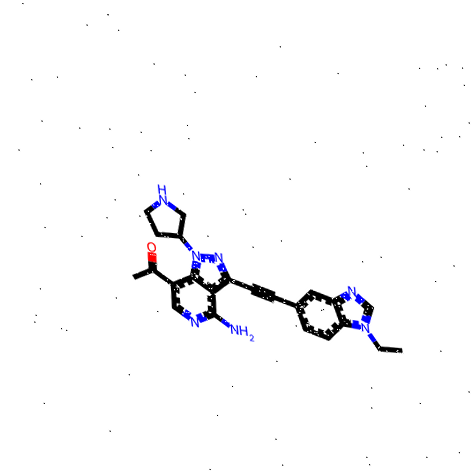 CCn1cnc2cc(C#Cc3nn(C4CCNC4)c4c(C(C)=O)cnc(N)c34)ccc21